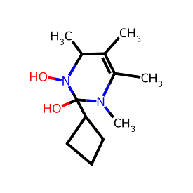 CC1=C(C)N(C)C(O)(C2CCC2)N(O)C1C